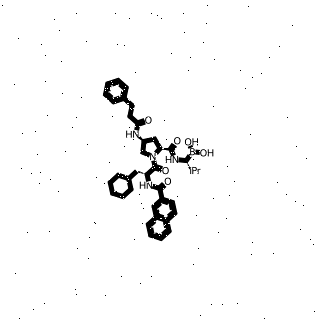 CC(C)[C@H](NC(=O)[C@@H]1C[C@H](NC(=O)CCc2ccccc2)CN1C(=O)[C@@H](CC1CCCCC1)NC(=O)c1ccc2ccccc2c1)B(O)O